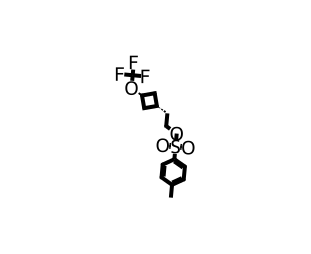 Cc1ccc(S(=O)(=O)OCC[C@H]2C[C@@H](OC(F)(F)F)C2)cc1